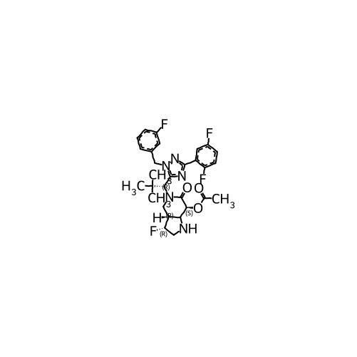 CC(=O)O[C@@H]1C(=O)N([C@@H](c2nc(-c3cc(F)ccc3F)nn2Cc2cccc(F)c2)C(C)(C)C)C[C@@H]2C1NC[C@@H]2F